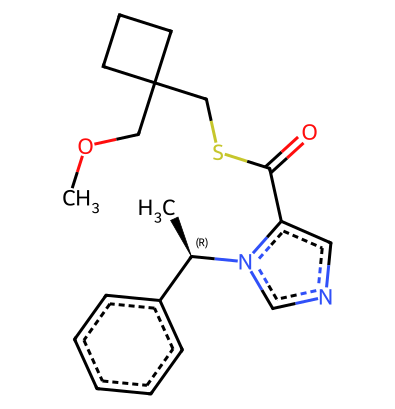 COCC1(CSC(=O)c2cncn2[C@H](C)c2ccccc2)CCC1